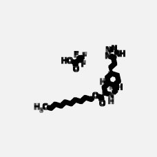 CCCCCCCCCCOC(=O)[C@@H]1C[C@H]2C[C@@H](CCc3nnn[nH]3)CC[C@H]2CN1.O=C(O)C(F)(F)F